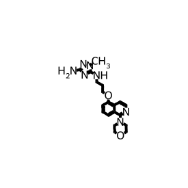 Cn1nc(N)nc1NCCCOc1cccc2c(N3CCOCC3)nccc12